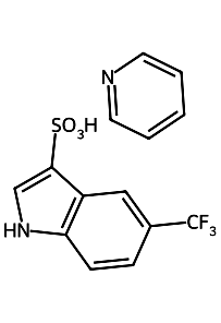 O=S(=O)(O)c1c[nH]c2ccc(C(F)(F)F)cc12.c1ccncc1